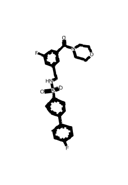 O=C(c1cc(F)cc(CNS(=O)(=O)c2ccc(-c3ccc(F)cc3)cc2)c1)N1CCOCC1